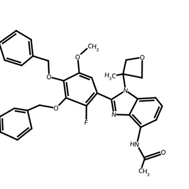 COc1cc(-c2nc3c(NC(C)=O)cccc3n2C2(C)COC2)c(F)c(OCc2ccccc2)c1OCc1ccccc1